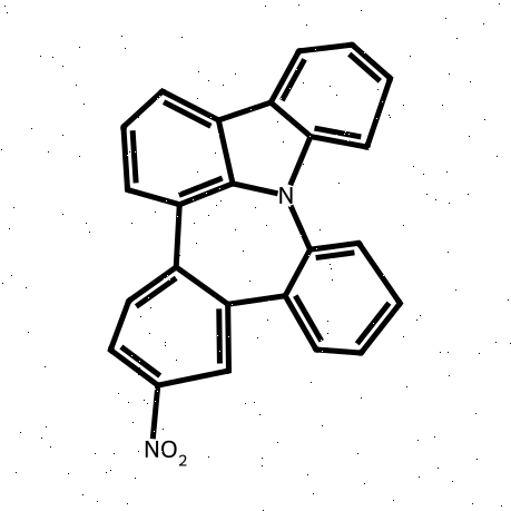 O=[N+]([O-])c1ccc2c(c1)-c1ccccc1-n1c3ccccc3c3cccc-2c31